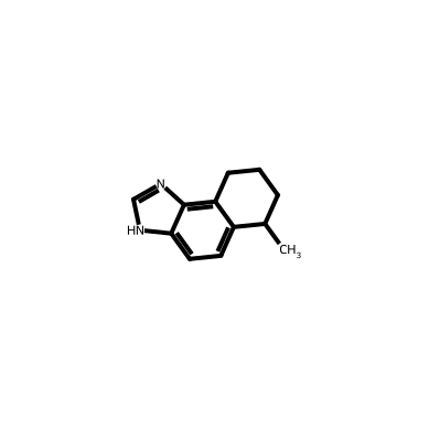 CC1CCCc2c1ccc1[nH]cnc21